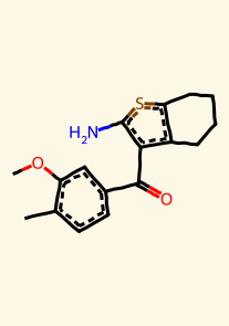 COc1cc(C(=O)c2c(N)sc3c2CCCC3)ccc1C